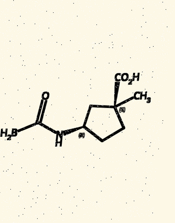 BC(=O)N[C@@H]1CC[C@](C)(C(=O)O)C1